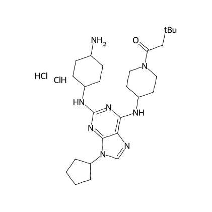 CC(C)(C)CC(=O)N1CCC(Nc2nc(NC3CCC(N)CC3)nc3c2ncn3C2CCCC2)CC1.Cl.Cl